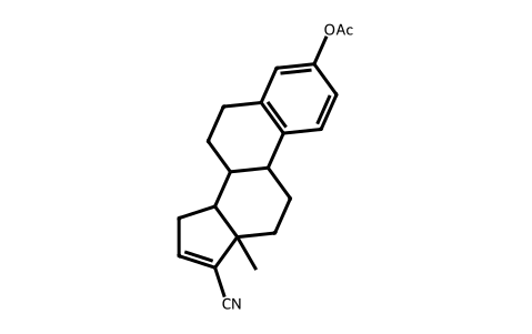 CC(=O)Oc1ccc2c(c1)CCC1C2CCC2(C)C(C#N)=CCC12